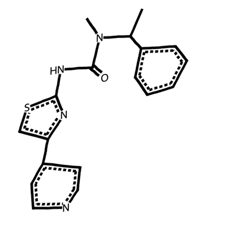 CC(c1ccccc1)N(C)C(=O)Nc1nc(-c2ccncc2)cs1